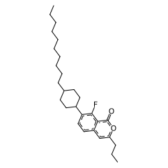 CCCCCCCCCCC1CCC(c2ccc3cc(CCC)oc(=O)c3c2F)CC1